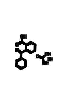 O=C(O)O.O=C(O)c1ccccc1C(=O)c1ccccc1.[KH]